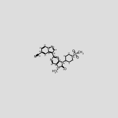 Cn1c(=O)n(C2CCN(S(C)(=O)=O)CC2)c2nc(-c3cnn4ccc(C#N)cc34)ncc21